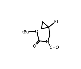 CCC1(CN(C=O)C(=O)OC(C)(C)C)CC1